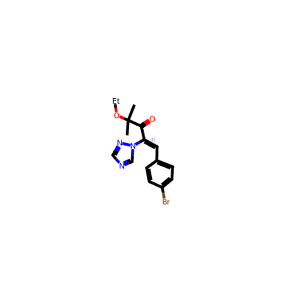 CCOC(C)(C)C(=O)/C(=C/c1ccc(Br)cc1)n1cncn1